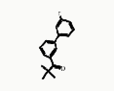 CC(C)(C)C(=O)c1cccc(-c2cccc(F)c2)c1